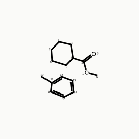 COC(=O)C1CCCCC1.Cc1ccccc1